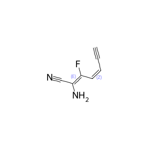 C#C/C=C\C(F)=C(/N)C#N